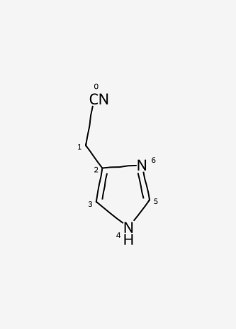 N#CCc1c[nH]cn1